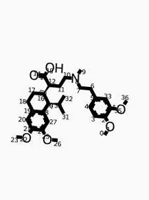 COc1ccc(CCN(C)CCC(C(=O)O)[C@@H]2CCc3cc(OC)c(OC)cc3[C@@H]2C(C)C)cc1OC